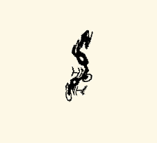 Cn1nccc1N1CCc2cc(CNC(=O)c3ccc4c(c3)[nH]c(=O)n4C)ccc21